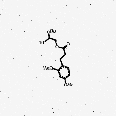 CCCCC(CC)COC(=O)CCc1ccc(OC)cc1OC